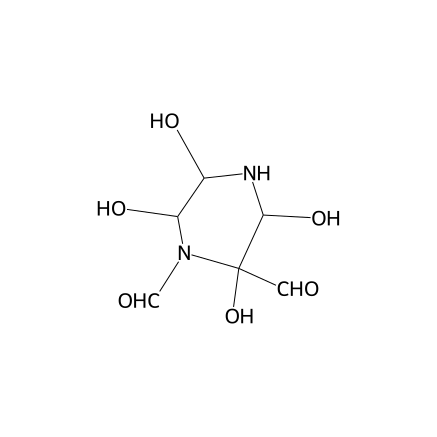 O=CN1C(O)C(O)NC(O)C1(O)C=O